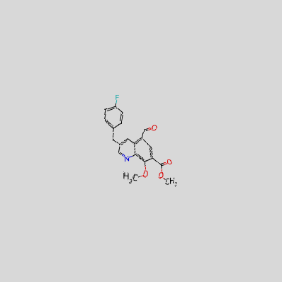 COC(=O)c1cc(C=O)c2cc(Cc3ccc(F)cc3)cnc2c1OC